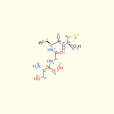 CC(C)C[C@H](NC(=O)[C@H](CO)NC(=O)[C@@H](N)CO)C(=O)N[C@@H](CS)C(=O)O